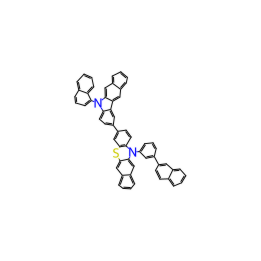 c1cc(-c2ccc3ccccc3c2)cc(N2c3ccc(-c4ccc5c(c4)c4cc6ccccc6cc4n5-c4cccc5ccccc45)cc3Sc3cc4ccccc4cc32)c1